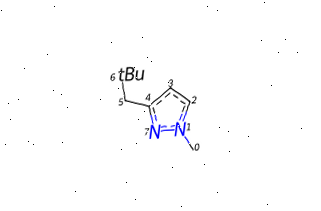 Cn1ccc(CC(C)(C)C)n1